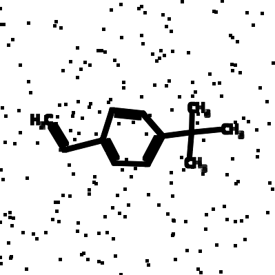 C=[C]c1ccc(C(C)(C)C)cc1